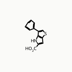 O=C(O)c1cc2scc(-c3ccccc3)c2[nH]1